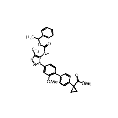 COC(=O)C1(c2ccc(-c3ccc(-n4nnc(C)c4NC(=O)OC(C)c4ccccc4)cc3OC)cc2)CC1